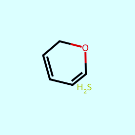 C1=CCOC=C1.S